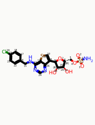 NS(=O)(=O)OC[C@H]1OC(c2csc3c(NCc4ccc(Cl)cc4)ncnc23)[C@H](O)[C@@H]1O